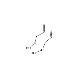 C=CCOO.C=CCOO